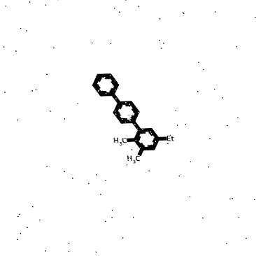 CCc1cc(C)c(C)c(-c2ccc(-c3ccccc3)cc2)c1